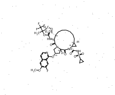 COC[C@@H]1CCCCCC[C@H]2C[C@@]2(C(=O)NS(=O)(=O)C2CC2)NC(=O)[C@@H]2C[C@@H](Oc3nccc4cc(OC)c(F)cc34)CN2C(=O)[C@H]1NC(=O)OC(C)(C)C(F)(F)F